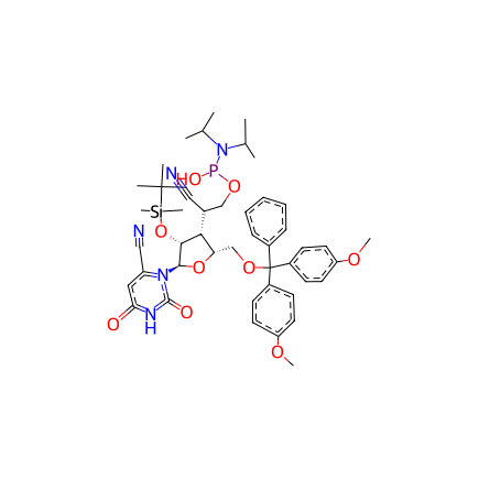 COc1ccc(C(OC[C@@H]2O[C@@H](n3c(C#N)cc(=O)[nH]c3=O)[C@H](O[Si](C)(C)C(C)(C)C)[C@@H]2C(C#N)COP(O)N(C(C)C)C(C)C)(c2ccccc2)c2ccc(OC)cc2)cc1